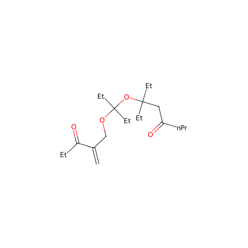 C=C(COC(CC)(CC)OC(CC)(CC)CC(=O)CCC)C(=O)CC